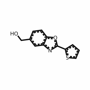 OCc1ccc2oc(-c3cccs3)nc2c1